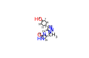 Cn1nnc(-c2ccc(O)cc2)c1Cn1cc[nH]c1=O